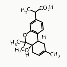 CC1=CC[C@@]2(O)[C@H](C1)c1ccc(C(C)C(=O)O)cc1OC2(C)C